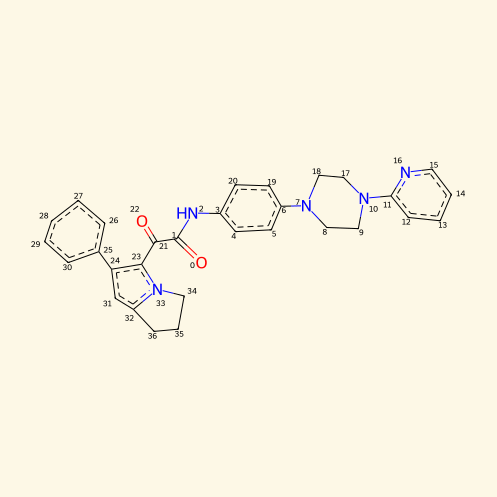 O=C(Nc1ccc(N2CCN(c3ccccn3)CC2)cc1)C(=O)c1c(-c2ccccc2)cc2n1CCC2